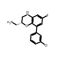 NC[C@@H]1CNc2cc(F)cc(-c3cccc(Cl)c3)c2O1